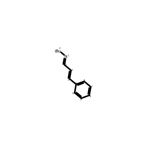 CCC(C)N=CC=Cc1ccccc1